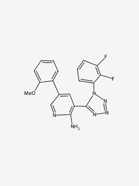 COc1ccccc1-c1cnc(N)c(-c2nnnn2-c2cccc(F)c2F)c1